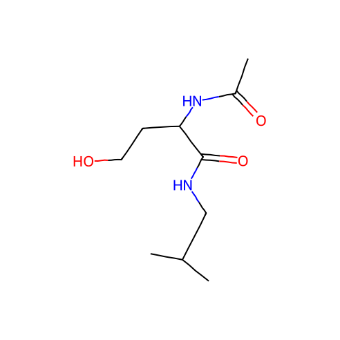 CC(=O)NC(CCO)C(=O)NCC(C)C